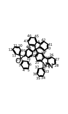 O=P(c1ccccc1)(c1ccccc1)c1ccc(C2(c3ccc4c(c3)c3cccnc3n4-c3ccccc3)c3ccccc3-c3ccccc32)cc1